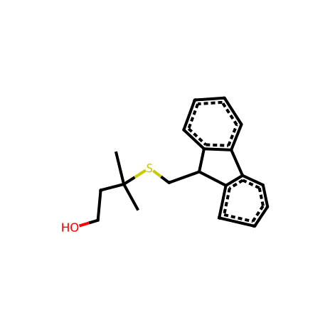 CC(C)(CCO)SCC1c2ccccc2-c2ccccc21